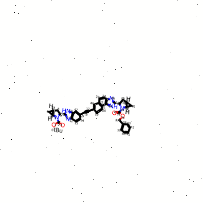 CC(C)(C)OC(=O)N1[C@@H]2C[C@@H]2C[C@H]1c1nc2ccc(C#Cc3ccc4c(ccc5nc([C@@H]6C[C@H]7C[C@H]7N6C(=O)OCc6ccccc6)[nH]c54)c3)cc2[nH]1